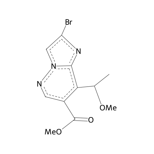 COC(=O)c1cnn2cc(Br)nc2c1C(C)OC